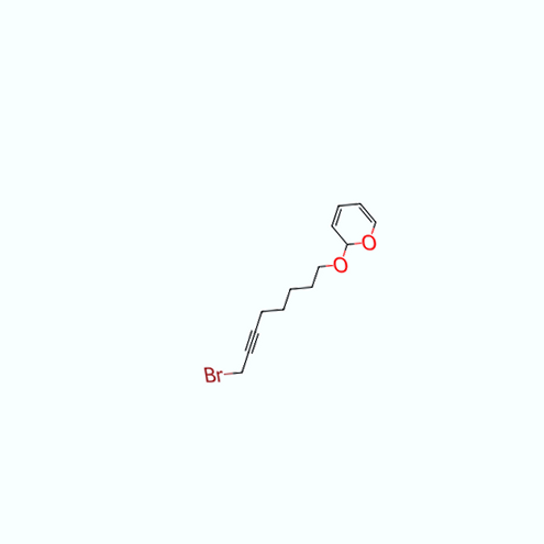 BrCC#CCCCCCOC1C=CC=CO1